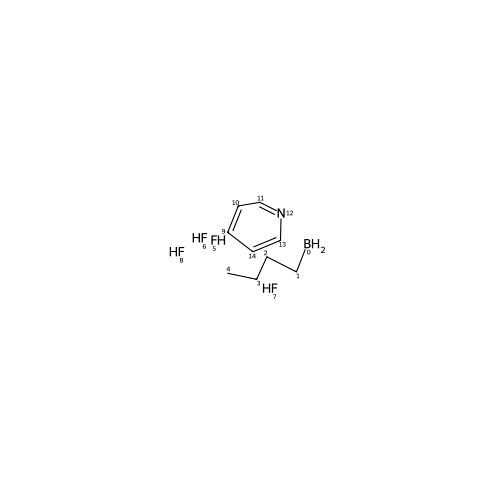 BCCCC.F.F.F.F.c1ccncc1